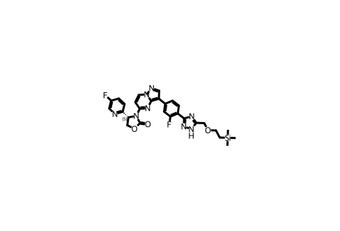 C[Si](C)(C)CCOCc1nc(-c2ccc(-c3cnn4ccc(N5C(=O)OC[C@@H]5c5ccc(F)cn5)nc34)cc2F)n[nH]1